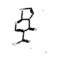 NC(=O)c1cnc2[nH]ccn2c1=O